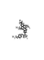 COc1ccc(CN(C)C(=O)c2cc3c(N[C@H](C)c4cc(N)cc(C(F)(F)F)c4)nc(C)nn3c2)cc1